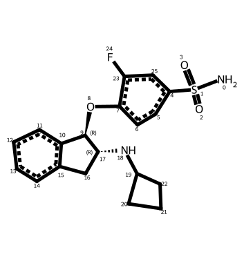 NS(=O)(=O)c1ccc(O[C@@H]2c3ccccc3C[C@H]2NC2CCC2)c(F)c1